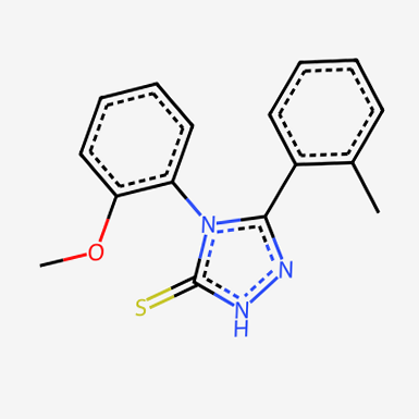 COc1ccccc1-n1c(-c2ccccc2C)n[nH]c1=S